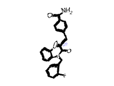 NC(=O)c1ccc(/C=C2\Oc3ccccc3N(Cc3ccccc3F)C2=O)cc1